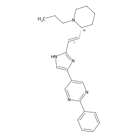 CCCN1CCCC[C@@H]1/C=C/c1nc(-c2cnc(-c3ccccc3)nc2)c[nH]1